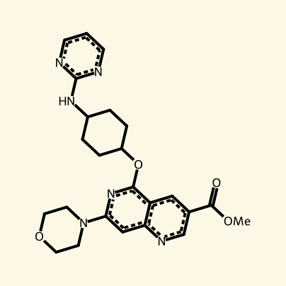 COC(=O)c1cnc2cc(N3CCOCC3)nc(OC3CCC(Nc4ncccn4)CC3)c2c1